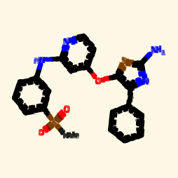 CNS(=O)(=O)c1cccc(Nc2cc(Oc3sc(N)nc3-c3ccccc3)ccn2)c1